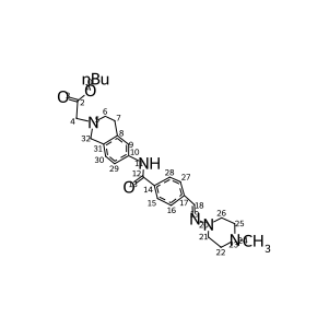 CCCCOC(=O)CN1CCc2cc(NC(=O)c3ccc(C=NN4CCN(C)CC4)cc3)ccc2C1